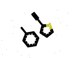 C#Cc1cccs1.Cc1ccccc1